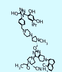 C=CC(=O)N1CCN(c2nc(OC[C@@H]3C[C@H](N4CCN(Cc5ccc(-n6c(O)nnc6-c6cc(C(C)C)c(O)cc6O)cc5)CC4)CN3C)nc3c2CCN(c2cccc4cccc(C)c24)C3)C[C@@H]1CC#N